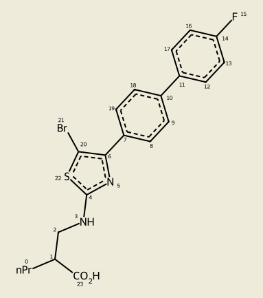 CCCC(CNc1nc(-c2ccc(-c3ccc(F)cc3)cc2)c(Br)s1)C(=O)O